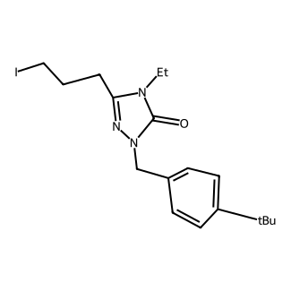 CCn1c(CCCI)nn(Cc2ccc(C(C)(C)C)cc2)c1=O